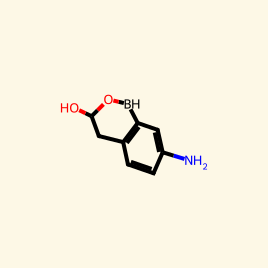 Nc1ccc2c(c1)BOC(O)C2